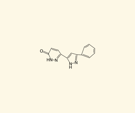 O=c1ccc(-c2cc(-c3ccccc3)n[nH]2)n[nH]1